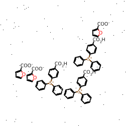 O=C(O)c1ccc([S+](c2ccccc2)c2ccccc2)cc1.O=C(O)c1ccc([S+](c2ccccc2)c2ccccc2)cc1.O=C(O)c1ccc([S+](c2ccccc2)c2ccccc2)cc1.O=C([O-])c1ccco1.O=C([O-])c1ccco1.O=C([O-])c1ccco1